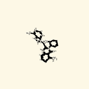 Cc1ccccc1-n1c(Cn2nnc3c(N)ncnc32)nc2cccc(C)c2c1=O